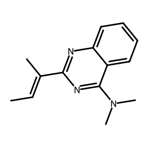 C/C=C(\C)c1nc(N(C)C)c2ccccc2n1